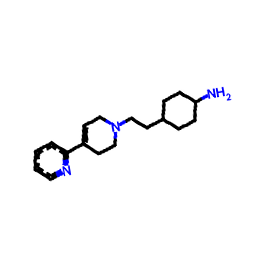 NC1CCC(CCN2CC=C(c3ccccn3)CC2)CC1